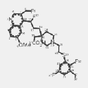 COc1ccc2ncc(CF)c(C(F)CCC3(CC(=O)O)CCN(CCSc4cc(F)cc(F)c4F)CC3)c2c1